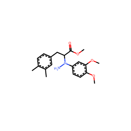 COC(=O)C(Cc1ccc(C)c(C)c1)N(N)c1ccc(OC)c(OC)c1